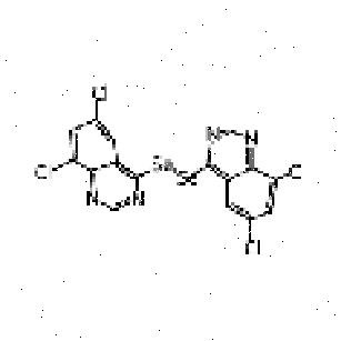 Clc1cc(Cl)c2ncnc([Se][Se]c3ncnc4c(Cl)cc(Cl)cc34)c2c1